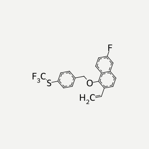 C=Cc1ccc2cc(F)ccc2c1OCc1ccc(SC(F)(F)F)cc1